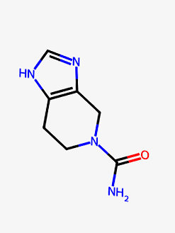 NC(=O)N1CCc2[nH]cnc2C1